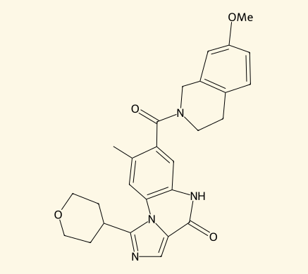 COc1ccc2c(c1)CN(C(=O)c1cc3[nH]c(=O)c4cnc(C5CCOCC5)n4c3cc1C)CC2